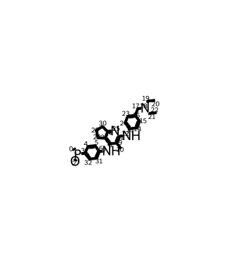 C=P(=O)c1ccc(Nc2c(C)c(Nc3ccc(CN(CC)CC)cc3)nc3c2CCC3)cc1